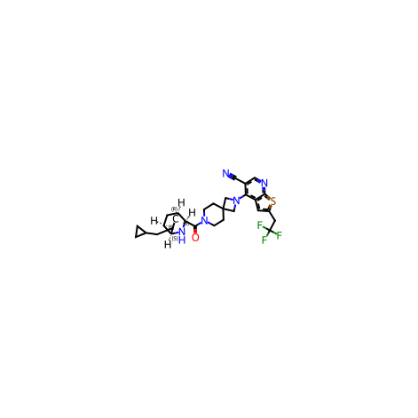 N#Cc1cnc2sc(CC(F)(F)F)cc2c1N1CC2(CCN(C(=O)[C@H]3N[C@H]4CC[C@@H]3C[C@@H]4CC3CC3)CC2)C1